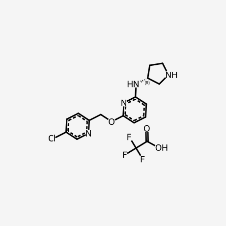 Clc1ccc(COc2cccc(N[C@@H]3CCNC3)n2)nc1.O=C(O)C(F)(F)F